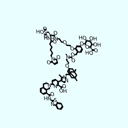 Cc1c(-c2ccc(N3CCc4cccc(C(=O)Nc5nc6ccccc6s5)c4C3)nc2C(=O)O)cnn1CC12CC3(C)CC(C)(C1)CC(OCCN(C)C(=O)OCc1ccc(O[C@@H]4O[C@H](C(=O)O)[C@H](O)[C@H](O)[C@@H]4O)cc1OCCOCCNC(=O)[C@H](CS(=O)(=O)O)NC(=O)CCCCCN1C(=O)C=CC1=O)(C3)C2